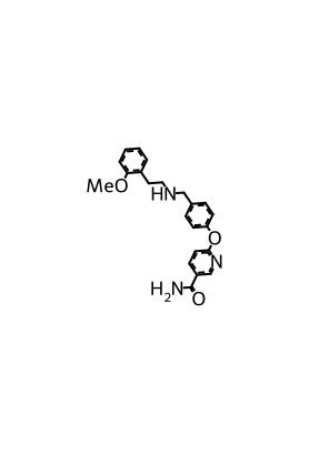 COc1ccccc1CCNCc1ccc(Oc2ccc(C(N)=O)cn2)cc1